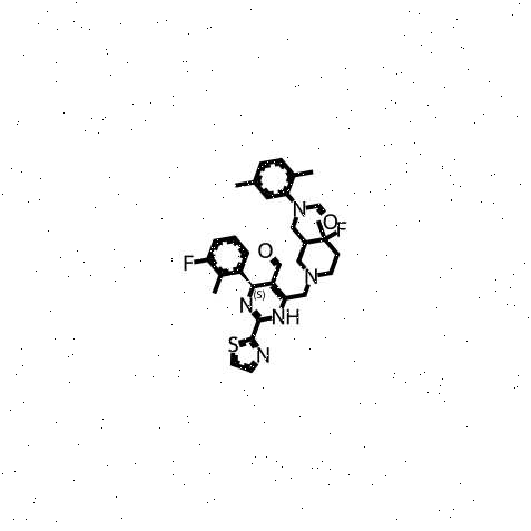 Cc1ccc(C)c(N(C=O)CC2CN(CC3=C(C=O)[C@H](c4cccc(F)c4C)N=C(c4nccs4)N3)CCC2(C)F)c1